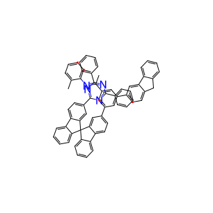 C/C(=N\c1ccccc1C)c1cc(-c2ccc3c(c2)-c2ccccc2C3)cc(-c2ccc3c(c2)C2(c4ccccc4-3)c3ccccc3-c3ccc(-c4nc(-c5ccccc5)nc(-c5ccccc5)n4)cc32)c1